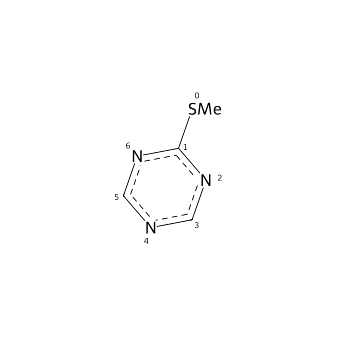 CSc1ncncn1